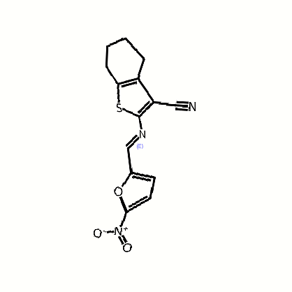 N#Cc1c(/N=C/c2ccc([N+](=O)[O-])o2)sc2c1CCCC2